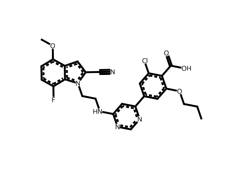 CCCOc1cc(-c2cc(NCCn3c(C#N)cc4c(OC)ccc(F)c43)ncn2)cc(Cl)c1C(=O)O